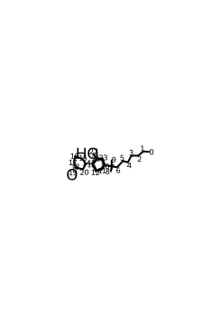 CCCCCCCC(C)(C)c1ccc([C@H]2CCCC(=O)C2)c(O)c1